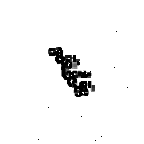 CO[C@@H]1CN(C2=C(C)C(=O)OC2)CCC12CCN(C[C@H](O)c1ccc3c(c1C)COC3=O)CC2